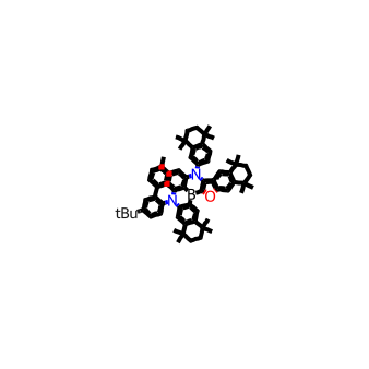 Cc1ccc(-c2cc(C(C)(C)C)ccc2N2c3cc4c(cc3B3c5oc6cc7c(cc6c5N(c5ccc6c(c5)C(C)(C)CCC6(C)C)c5cc(C)cc2c53)C(C)(C)CCC7(C)C)C(C)(C)CCC4(C)C)cc1